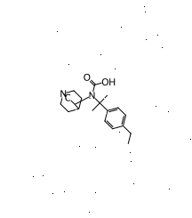 CCc1ccc(C(C)(C)N(C(=O)O)C2CN3CCC2CC3)cc1